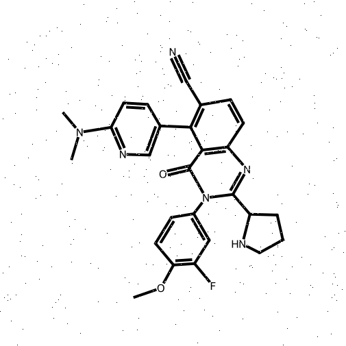 COc1ccc(-n2c(C3CCCN3)nc3ccc(C#N)c(-c4ccc(N(C)C)nc4)c3c2=O)cc1F